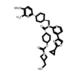 COc1ccc([C@H]2CC[C@H](CN(c3cc(-c4coc(C5CC5)n4)ccn3)C(=O)[C@H]3CC[C@H](OC(=O)N4CC(CO)C4)CC3)CC2)nc1C